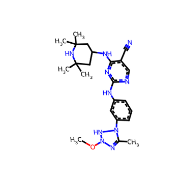 CON1N=C(C)N(c2cccc(Nc3ncc(C#N)c(NC4CC(C)(C)NC(C)(C)C4)n3)c2)N1